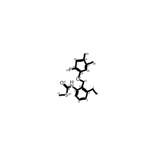 CCc1cccc(NC(=O)SC)c1COc1cc(C)c(C)cc1F